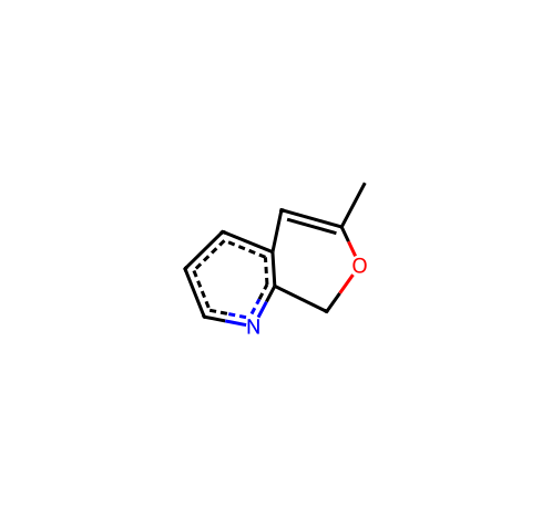 CC1=Cc2cccnc2CO1